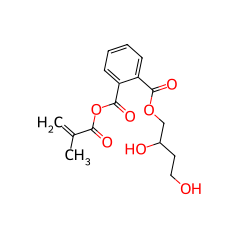 C=C(C)C(=O)OC(=O)c1ccccc1C(=O)OCC(O)CCO